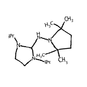 CC(C)N1CCN(C(C)C)C1NN1C(C)(C)CCC1(C)C